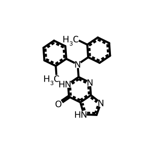 Cc1ccccc1N(c1nc2nc[nH]c2c(=O)[nH]1)c1ccccc1C